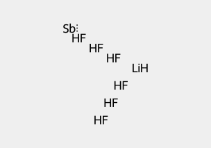 F.F.F.F.F.F.[LiH].[Sb]